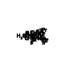 CC(NC(=O)N(C)C)C(=O)N1CC(F)CC1C(=O)NC(c1ccccc1)c1ccc(C(C)C)c(F)n1